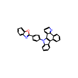 c1ccc2oc(-c3ccc(-n4c5ccccc5c5c6ccccc6c6ncccc6c54)cc3)nc2c1